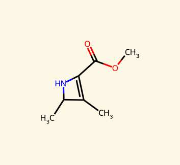 COC(=O)C1=C(C)C(C)N1